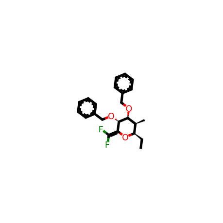 CC[C@H]1OC(=C(F)F)[C@H](OCc2ccccc2)[C@@H](OCc2ccccc2)[C@H]1C